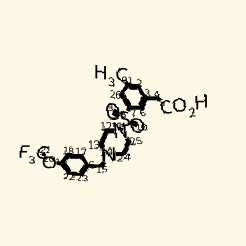 Cc1cc(CC(=O)O)cc(S(=O)(=O)N2CCN(Cc3ccc(OC(F)(F)F)cc3)CC2)c1